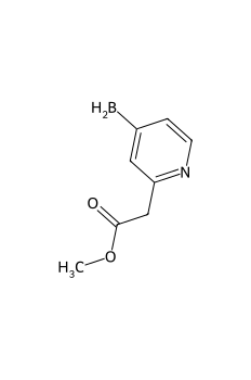 Bc1ccnc(CC(=O)OC)c1